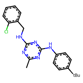 Cc1nc(NCc2ccccc2Cl)nc(Nc2ccc(C(C)(C)C)cc2)n1